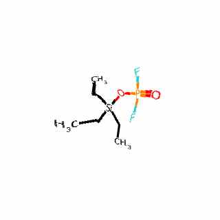 CC[Si](CC)(CC)OP(=O)(F)F